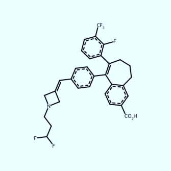 O=C(O)c1ccc2c(c1)CCCC(c1cccc(C(F)(F)F)c1F)=C2c1ccc(C=C2CN(CCC(F)F)C2)cc1